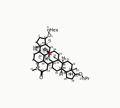 CCCCCCOC1CC[C@H]2[C@@H]3CCC4N(C)C(=O)CC(C56CC[C@@H]7[C@@H](CC[C@]8(C)C(OCCC)CC[C@@H]78)[C@@]5(C)CCC(=O)N6C)[C@]4(C)[C@@H]3CC[C@]12C